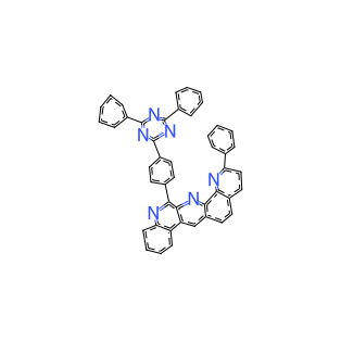 c1ccc(-c2ccc3ccc4cc5c(nc4c3n2)c(-c2ccc(-c3nc(-c4ccccc4)nc(-c4ccccc4)n3)cc2)nc2ccccc25)cc1